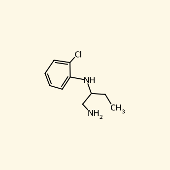 CCC(CN)Nc1ccccc1Cl